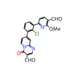 COc1nc(-c2cccc(-c3ccn4c(=O)c(C=O)cnc4c3)c2Cl)ccc1C=O